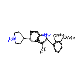 CCc1c(-c2cccc(OC)c2OC)[nH]c2ccc(C3CCNCC3)cc12